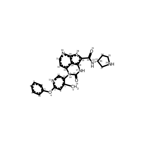 Cc1cc(Oc2ccccc2)ncc1N1C(=O)Nc2c(C(=O)N[C@@H]3CCNC3)sc3nccc1c23